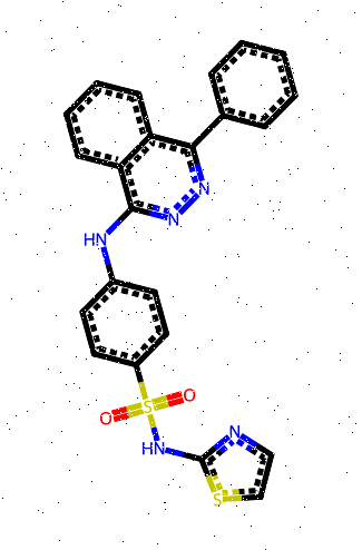 O=S(=O)(Nc1nccs1)c1ccc(Nc2nnc(-c3ccccc3)c3ccccc23)cc1